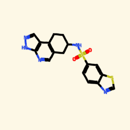 O=S(=O)(NC1CCc2c(cnc3[nH]ncc23)C1)c1ccc2ncsc2c1